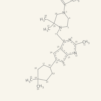 CC(=O)N1CCN(Cc2nc(C)nc3sc(C4CCC(C)(C)CC4)cc23)C(C)(C)C1